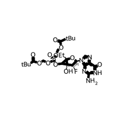 CC[C@]12O[C@@H](n3cnc4c(=O)[nH]c(N)nc43)[C@H](F)[C@@]1(O)C2OP(=O)(OCOC(=O)C(C)(C)C)OCOC(=O)C(C)(C)C